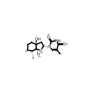 Cc1cn([C@H]2C[C@@]3(O)CCC[C@@H](C)[C@@H]3O2)c(=O)[nH]c1=O